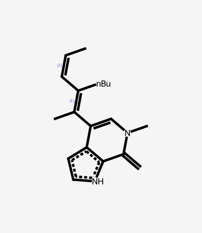 C=C1c2[nH]ccc2C(/C(C)=C(/C=C\C)CCCC)=CN1C